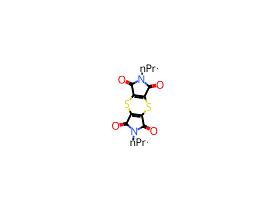 C[CH][CH]n1c(=O)c2sc3c(=O)n([CH][CH]C)c(=O)c3sc2c1=O